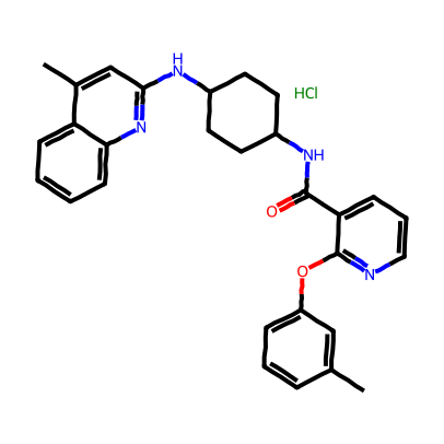 Cc1cccc(Oc2ncccc2C(=O)NC2CCC(Nc3cc(C)c4ccccc4n3)CC2)c1.Cl